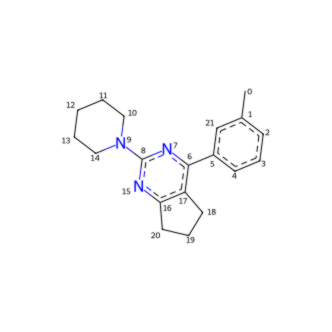 Cc1cccc(-c2nc(N3CCCCC3)nc3c2CCC3)c1